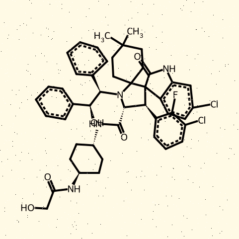 CC1(C)CCC2(CC1)N([C@H](c1ccccc1)[C@@H](O)c1ccccc1)[C@@H](C(=O)N[C@H]1CC[C@H](NC(=O)CO)CC1)[C@H](c1cccc(Cl)c1F)C21C(=O)Nc2cc(Cl)ccc21